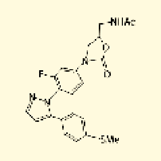 CSc1ccc(-c2ccnn2-c2ccc(N3CC(CNC(C)=O)OC3=O)cc2F)cc1